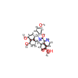 COc1ccc(C(c2ccc(OC)cc2)N(C(=O)c2cc(C(=O)O)ccn2)C(c2ccc(OC)cc2)c2ccc(OC)cc2)cc1